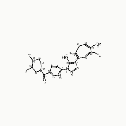 CC1=C(c2cnn(-c3ccc(C(=O)N4CCN(C)C(C)C4)cn3)c2O)C=C(F)C(C#N)=CC1